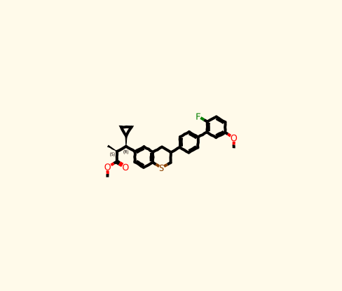 COC(=O)[C@@H](C)[C@H](c1ccc2c(c1)CC(c1ccc(-c3cc(OC)ccc3F)cc1)CS2)C1CC1